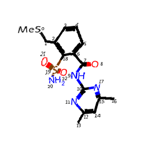 CSCc1cccc(C(=O)Nc2nc(C)cc(C)n2)c1S(N)(=O)=O